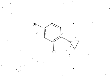 Clc1cc(Br)ccc1[C]1CC1